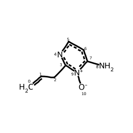 C=CCc1nccc(N)[n+]1[O-]